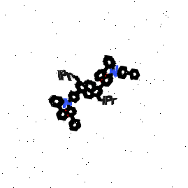 CC(C)Cc1cc(-c2ccc(N(c3ccc(-c4ccccc4)cc3)c3ccccc3-c3ccccc3)cc2)c2ccc3c(CC(C)C)cc(-c4ccc(N(c5ccc(-c6ccccc6)cc5)c5ccccc5-c5ccccc5)cc4)c4ccc1c2c34